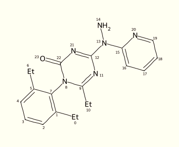 CCc1cccc(CC)c1-n1c(CC)nc(N(N)c2ccccn2)nc1=O